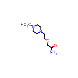 NC(=O)COCCN1CCN(C(=O)O)CC1